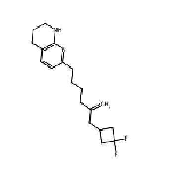 C=C(CCCCc1ccc2c(n1)NCCC2)CC1CC(F)(F)C1